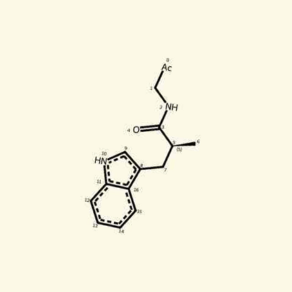 CC(=O)CNC(=O)[C@@H](C)Cc1c[nH]c2ccccc12